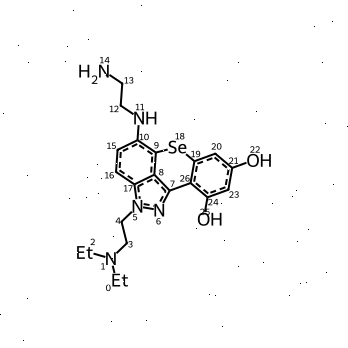 CCN(CC)CCn1nc2c3c(c(NCCN)ccc31)[Se]c1cc(O)cc(O)c1-2